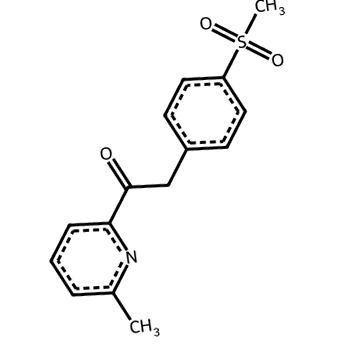 Cc1cccc(C(=O)Cc2ccc(S(C)(=O)=O)cc2)n1